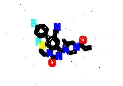 C=CC(=O)N1CCN(c2nc(=O)n3c4c(c(-c5ccc(F)cc5F)c(C#N)cc24)SCC3)[C@@H](C)C1